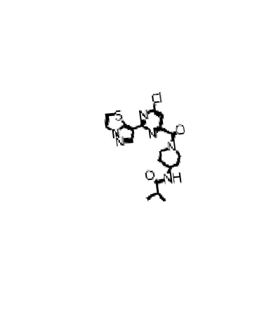 CC(C)C(=O)NC1CCN(C(=O)c2cc(Cl)nc(-c3cnn4ccsc34)n2)CC1